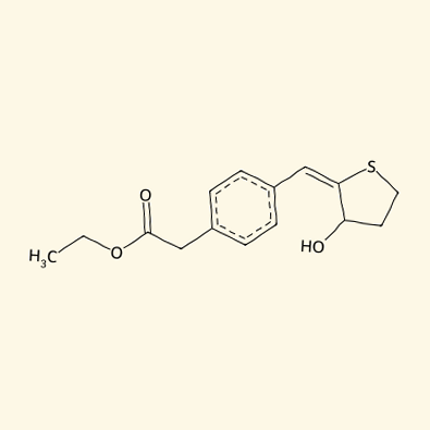 CCOC(=O)Cc1ccc(C=C2SCCC2O)cc1